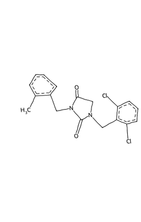 Cc1ccccc1CN1C(=O)CN(Cc2c(Cl)cccc2Cl)C1=O